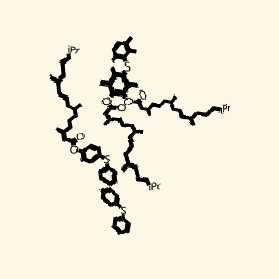 CC(C)CCCC(C)CCCC(C)CCCC(C)CC(=O)Oc1ccc(Sc2cc[c]cc2)cc1.Cc1ccc(C)c(Sc2c(C)c(C)c(OC(=O)CC(C)CCCC(C)CCCC(C)CCCC(C)C)c(OC(=O)CC(C)CCCC(C)CCCC(C)CCCC(C)C)c2C)c1C.[c]1ccc(Sc2cc[c]cc2)cc1